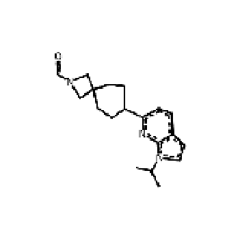 CC(C)n1ccc2ccc(C3CCC4(CC3)CN(C=O)C4)nc21